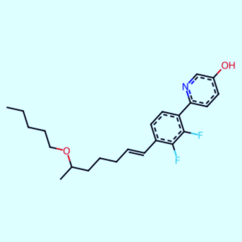 CCCCCOC(C)CCCC=Cc1ccc(-c2ccc(O)cn2)c(F)c1F